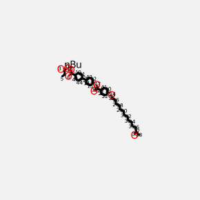 CCCCOC(=O)C(C)OC(=O)c1ccc(-c2ccc(OC(=O)c3ccc(OCCCCCCCCCCCCC4CO4)cc3)cc2)cc1